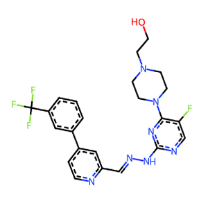 OCCN1CCN(c2nc(N/N=C/c3cc(-c4cccc(C(F)(F)F)c4)ccn3)ncc2F)CC1